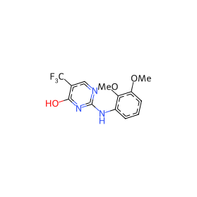 COc1cccc(Nc2ncc(C(F)(F)F)c(O)n2)c1OC